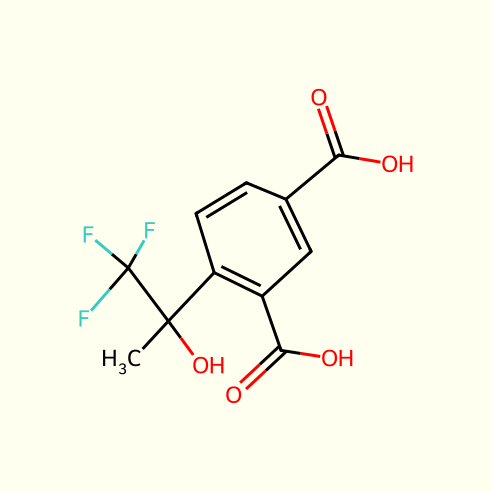 CC(O)(c1ccc(C(=O)O)cc1C(=O)O)C(F)(F)F